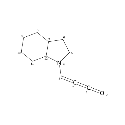 O=C=C=CN1CCC2CCCCC21